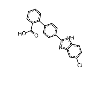 O=C(O)c1ccccc1-c1ccc(-c2nc3cc(Cl)ccc3[nH]2)cc1